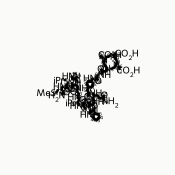 CSCC[C@H](NC(=O)[C@H](CC(C)C)NC(=O)[C@H](Cc1c[nH]cn1)NC(=O)CNC(=O)[C@@H](NC(=O)[C@H](C)NC(=O)[C@H](Cc1c[nH]c2ccccc12)NC(=O)C(CCC(N)=O)NC(=O)Cc1ccc(NC(=O)CNC(=O)CN2CCN(CC(=O)O)CCN(CC(=O)O)CCN(CC(=O)O)CC2)cc1)C(C)C)C(N)=O